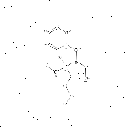 CCCC[C@@](C)(OC)C(CO)O[C@@H]1C=CC=CO1